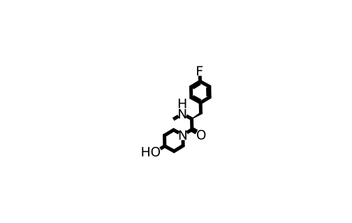 CN[C@@H](Cc1ccc(F)cc1)C(=O)N1CCC(O)CC1